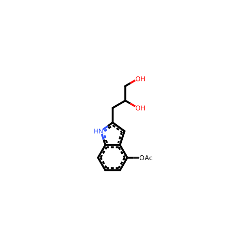 CC(=O)Oc1cccc2[nH]c(CC(O)CO)cc12